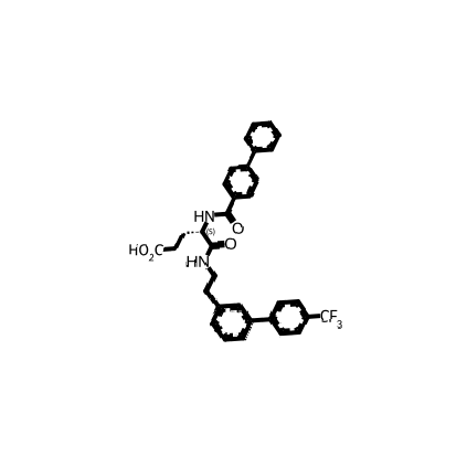 O=C(O)CC[C@H](NC(=O)c1ccc(-c2ccccc2)cc1)C(=O)NCCc1cccc(-c2ccc(C(F)(F)F)cc2)c1